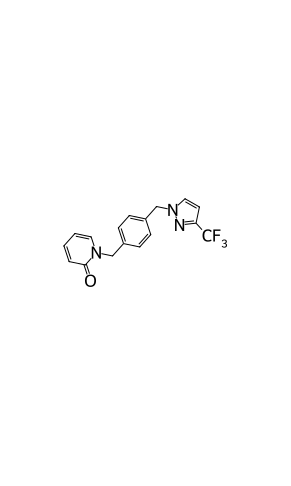 O=c1ccccn1Cc1ccc(Cn2ccc(C(F)(F)F)n2)cc1